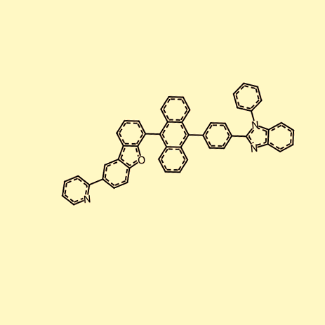 c1ccc(-n2c(-c3ccc(-c4c5ccccc5c(-c5cccc6c5oc5ccc(-c7ccccn7)cc56)c5ccccc45)cc3)nc3ccccc32)cc1